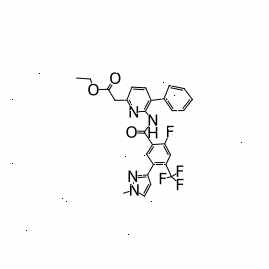 CCOC(=O)Cc1ccc(-c2ccccc2)c(NC(=O)c2cc(-c3ccn(C)n3)c(C(F)(F)F)cc2F)n1